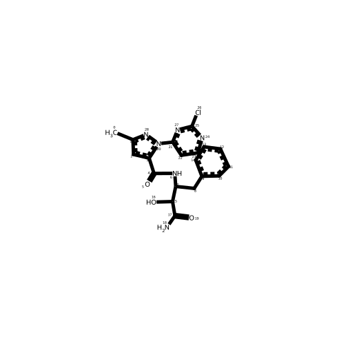 Cc1cc(C(=O)NC(Cc2ccccc2)C(O)C(N)=O)n(-c2ccnc(Cl)n2)n1